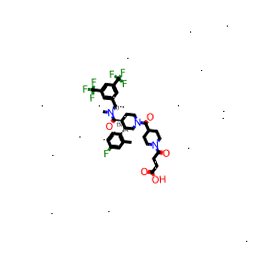 Cc1cc(F)ccc1[C@H]1CN(C(=O)C2CCN(C(=O)CCC(=O)O)CC2)CC[C@@H]1C(=O)N(C)[C@@H](C)c1cc(C(F)(F)F)cc(C(F)(F)F)c1